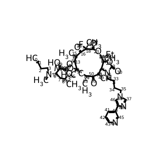 C#CCCN(C)[C@H]1C[C@@H](C)O[C@@H](O[C@@H]2[C@@H](C)C(=O)[C@](C)(F)C(=O)O[C@H](CC)[C@@]3(C)OC(=O)N(CCCCn4cnc(-c5cccnc5)c4)C3[C@@H](C)C(=O)[C@H](C)C[C@@]2(C)OC)[C@@H]1O